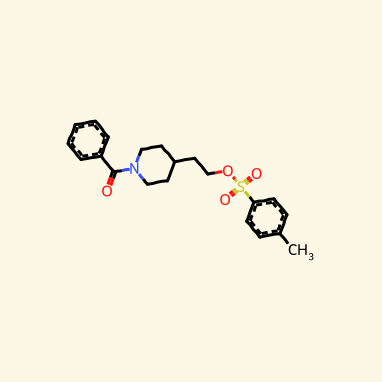 Cc1ccc(S(=O)(=O)OCCC2CCN(C(=O)c3ccccc3)CC2)cc1